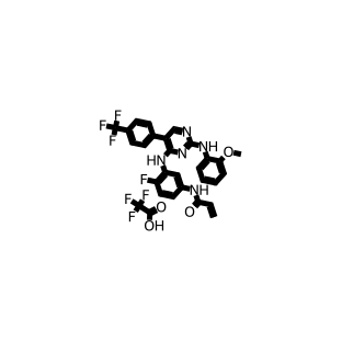 C=CC(=O)Nc1ccc(F)c(Nc2nc(Nc3ccccc3OC)ncc2-c2ccc(C(F)(F)F)cc2)c1.O=C(O)C(F)(F)F